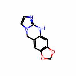 c1cn2c(n1)Nc1cc3c(cc1C2)OCO3